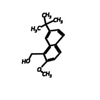 COc1ccc2ccc(C(C)(C)C)cc2c1CO